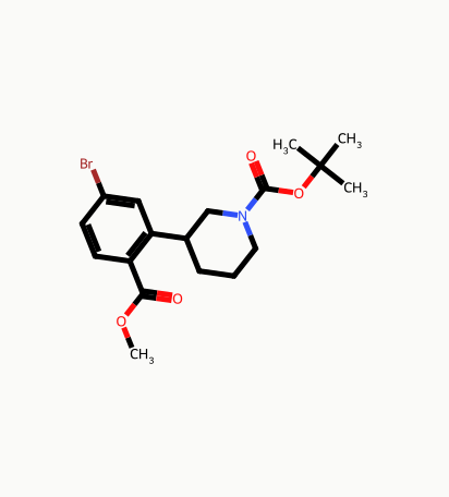 COC(=O)c1ccc(Br)cc1C1CCCN(C(=O)OC(C)(C)C)C1